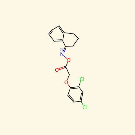 O=C(COc1ccc(Cl)cc1Cl)O/N=C1\CCCc2ccccc21